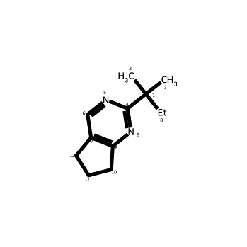 CCC(C)(C)c1ncc2c(n1)CCC2